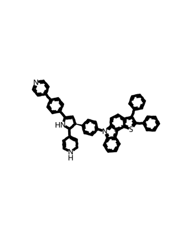 C1=CC(C2NC(c3ccc(-c4ccncc4)cc3)=C[C@H]2c2ccc(-n3c4ccccc4c4c5sc(-c6ccccc6)c(-c6ccccc6)c5ccc43)cc2)=CCN1